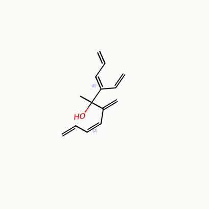 C=C/C=C\C(=C)C(C)(O)/C(C=C)=C/C=C